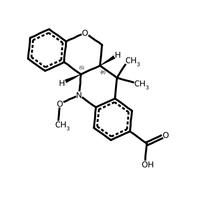 CON1c2ccc(C(=O)O)cc2C(C)(C)[C@H]2COc3ccccc3[C@H]21